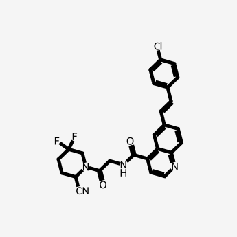 N#CC1CCC(F)(F)CN1C(=O)CNC(=O)c1ccnc2ccc(C=Cc3ccc(Cl)cc3)cc12